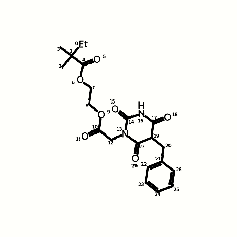 CCC(C)(C)C(=O)OCCOC(=O)CN1C(=O)NC(=O)C(Cc2ccccc2)C1=O